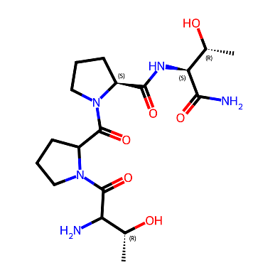 C[C@@H](O)C(N)C(=O)N1CCCC1C(=O)N1CCC[C@H]1C(=O)N[C@H](C(N)=O)[C@@H](C)O